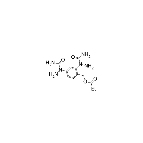 CCC(=O)OCc1ccc(N(N)C(N)=O)cc1N(N)C(N)=O